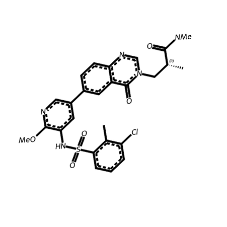 CNC(=O)[C@H](C)Cn1cnc2ccc(-c3cnc(OC)c(NS(=O)(=O)c4cccc(Cl)c4C)c3)cc2c1=O